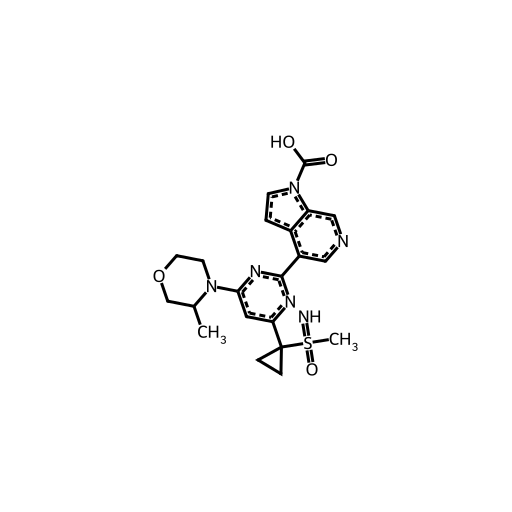 CC1COCCN1c1cc(C2(S(C)(=N)=O)CC2)nc(-c2cncc3c2ccn3C(=O)O)n1